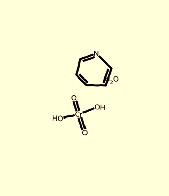 O.[O]=[Cr](=[O])([OH])[OH].c1ccncc1